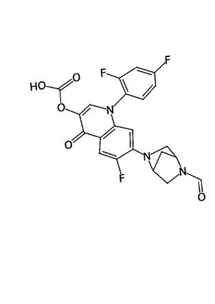 O=CN1CC2CC1CN2c1cc2c(cc1F)c(=O)c(OC(=O)O)cn2-c1ccc(F)cc1F